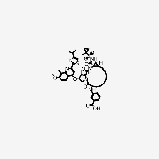 COc1ccc2c(O[C@@H]3C[C@H]4C(=O)N[C@]5(C(=O)NS(=O)(=O)C6(C)CC6)C[C@H]5/C=C\CCCCC[C@H](Nc5cccc(C(=O)O)c5)C(=O)N4C3)cc(-c3nc(C(C)C)cs3)nc2c1C